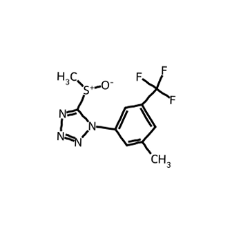 Cc1cc(-n2nnnc2[S+](C)[O-])cc(C(F)(F)F)c1